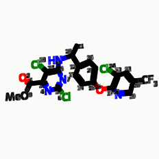 COC(=O)c1nc(Cl)nc(NC(C)c2ccc(Oc3ncc(C(F)(F)F)cc3Cl)cc2)c1Cl